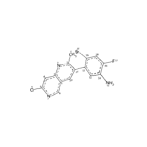 Cc1nc2cc(Cl)ncc2cc1-c1cc(N)c(F)cc1Br